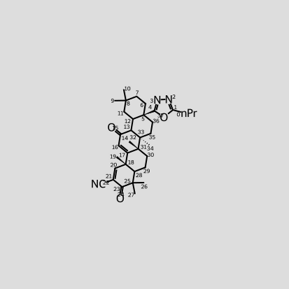 CCCc1nnc([C@]23CCC(C)(C)CC2C2C(=O)C=C4[C@@]5(C)C=C(C#N)C(=O)C(C)(C)C5CC[C@@]4(C)[C@]2(C)CC3)o1